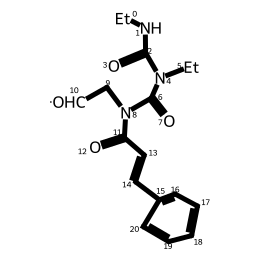 CCNC(=O)N(CC)C(=O)N(C[C]=O)C(=O)C=Cc1ccccc1